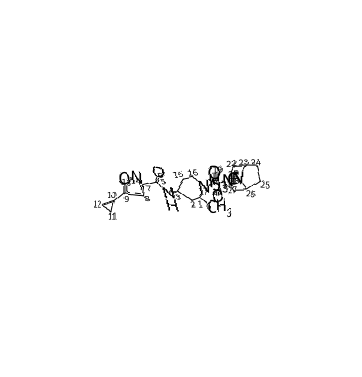 C[C@H]1C[C@@H](NC(=O)c2cc(C3CC3)on2)CCN1S(=O)(=O)N1CC2CCC(C1)N2C